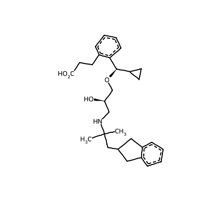 CC(C)(CC1Cc2ccccc2C1)NC[C@@H](O)CO[C@@H](c1ccccc1CCC(=O)O)C1CC1